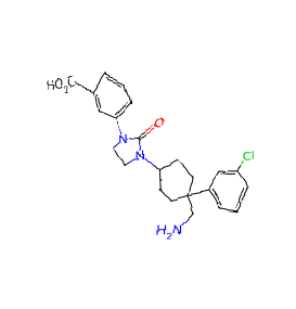 NCC1(c2cccc(Cl)c2)CCC(N2CCN(c3cccc(C(=O)O)c3)C2=O)CC1